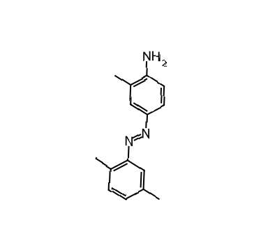 Cc1ccc(C)c(N=Nc2ccc(N)c(C)c2)c1